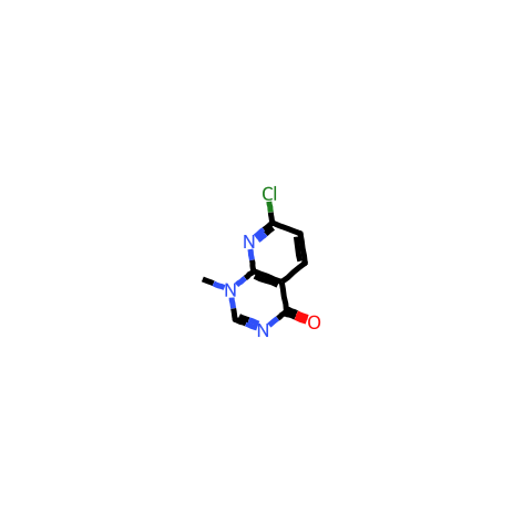 Cn1cnc(=O)c2ccc(Cl)nc21